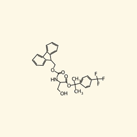 CC(C)(OC(=O)C(CO)NC(=O)OCC1c2ccccc2-c2ccccc21)c1ccc(C(F)(F)F)cc1